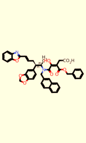 C[C@H]([C@H](CC=Cc1nc2ccccc2o1)c1ccc2c(c1)OCO2)N(Cc1ccc2ccccc2c1)C(=O)C(O)=C(CC(=O)O)C(=O)OCc1ccccc1